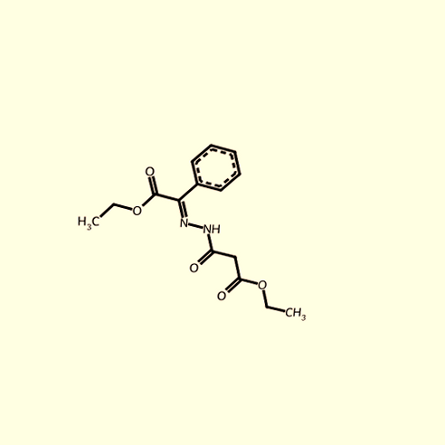 CCOC(=O)CC(=O)N/N=C(/C(=O)OCC)c1ccccc1